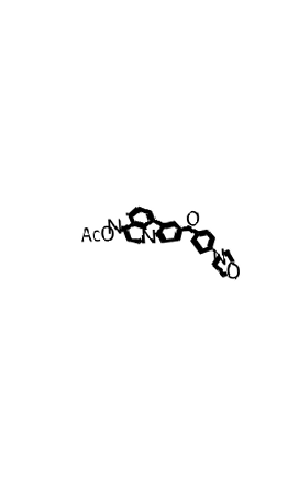 CC(=O)O/N=C1\CCn2c3ccc(C(=O)c4ccc(N5CCOCC5)cc4)cc3c3cccc1c32